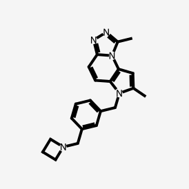 Cc1cc2c(ccc3nnc(C)n32)n1Cc1cccc(CN2CCC2)c1